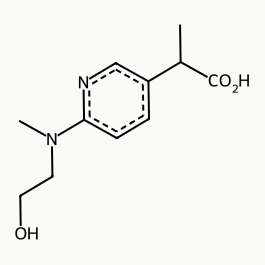 CC(C(=O)O)c1ccc(N(C)CCO)nc1